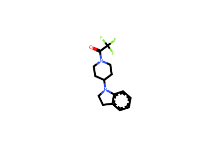 O=C(N1CCC(N2CCc3ccccc32)CC1)C(F)(F)F